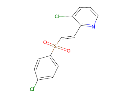 O=S(=O)(C=Cc1ncccc1Cl)c1ccc(Cl)cc1